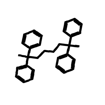 CC(CCCCC(C)(c1ccccc1)c1ccccc1)(c1ccccc1)c1ccccc1